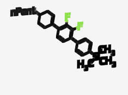 CCCCCC1CC=C(c2ccc(-c3ccc([Si](C)(C)C)cc3)c(F)c2F)CC1